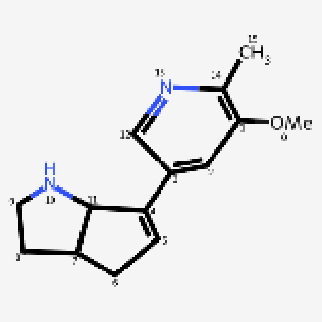 COc1cc(C2=CCC3CCNC23)cnc1C